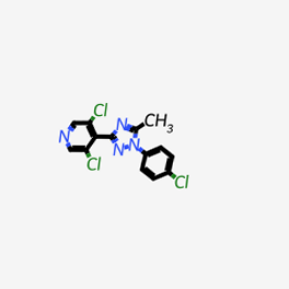 Cc1nc(-c2c(Cl)cncc2Cl)nn1-c1ccc(Cl)cc1